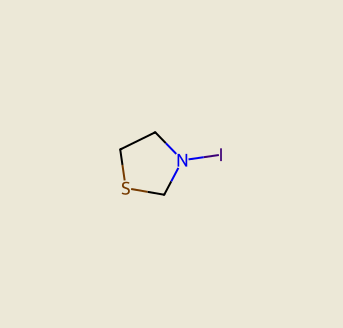 IN1CCSC1